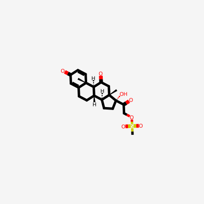 C[C@]12C=CC(=O)C=C1CC[C@@H]1[C@@H]2C(=O)C[C@@]2(C)[C@H]1CC[C@]2(O)C(=O)COS(C)(=O)=O